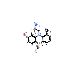 Cc1cccc(C)c1N(CCN)c1c(C)cccc1C.[Br-].[Br-].[Ni+2]